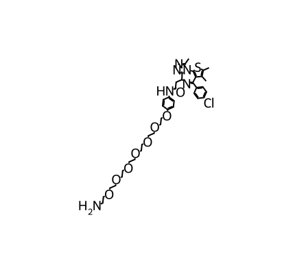 Cc1sc2c(c1C)C(c1ccc(Cl)cc1)=NC(CC(=O)Nc1ccc(OCCOCCOCCOCCOCCOCCOCCN)cc1)c1nnc(C)n1-2